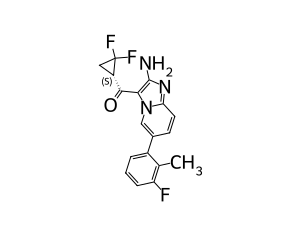 Cc1c(F)cccc1-c1ccc2nc(N)c(C(=O)[C@@H]3CC3(F)F)n2c1